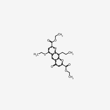 CCCc1c2nc(C(=O)OCC)cc(SCC)c2cc2c(=O)cc(C(=O)OCC)oc12